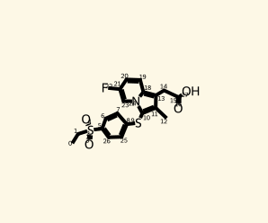 CCS(=O)(=O)c1ccc(Sc2c(C)c(CC(=O)O)c3ccc(F)cn23)cc1